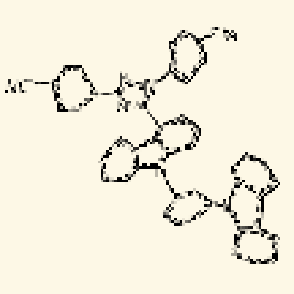 N#Cc1ccc(-c2nc(-c3cccc4c3c3ccccc3n4-c3cccc(-n4c5ccccc5c5ccccc54)c3)n(-c3ccc(C#N)cc3)n2)cc1